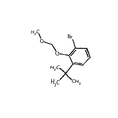 COCOc1c(Br)cccc1C(C)(C)C